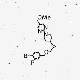 COCc1cnc(N2CCC(C3CC3COCc3ccc(Br)c(F)c3)CC2)nc1